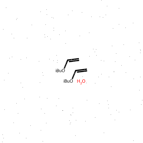 C=COCC(C)C.C=COCC(C)C.O